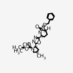 C[C@H]1C[C@H](c2nnc([C@@H]3CC[C@@H]4CN3C(=O)N4OCc3ccccc3)o2)N(C(=O)OC(C)(C)C)C1